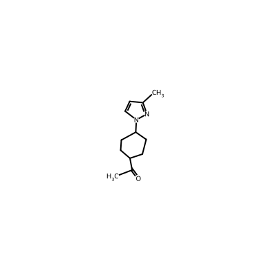 CC(=O)C1CCC(n2ccc(C)n2)CC1